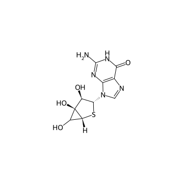 Nc1nc2c(ncn2[C@@H]2S[C@@H]3C(O)[C@]3(O)[C@H]2O)c(=O)[nH]1